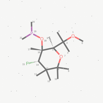 COC(C)(C)[C@@]1(C)OC(C)(C)C(C)(C)[C@H](F)[C@]1(C)OP(C)C